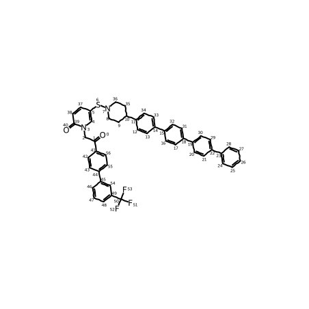 O=C(Cn1cc(SN2CCC(c3ccc(-c4ccc(-c5ccc(-c6ccccc6)cc5)cc4)cc3)CC2)ccc1=O)c1ccc(-c2cccc(C(F)(F)F)c2)cc1